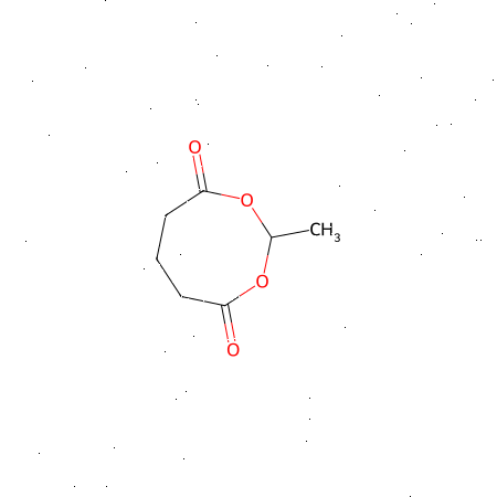 CC1OC(=O)CCCC(=O)O1